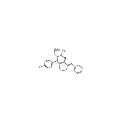 CC(=O)OCc1c(C(C)C)nc2c(c1-c1ccc(F)cc1)CCCC2=Cc1ccccc1